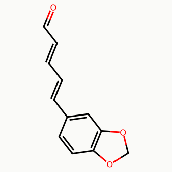 O=CC=CC=Cc1ccc2c(c1)OCO2